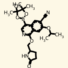 CC(C)Oc1cc2c(OCC3CCC(=O)N3)ncc(B3OC(C)(C)C(C)(C)O3)c2cc1C#N